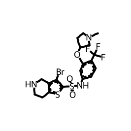 CN1CCC(Oc2cc(NS(=O)(=O)c3sc4c(c3Br)CNCC4)ccc2C(F)(F)F)C1